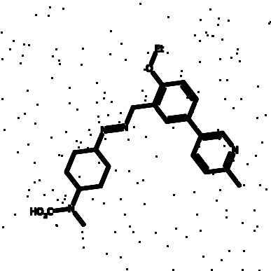 CCOc1ccc(-c2ccc(C)nc2)cc1CN=NC1CCC(N(C)C(=O)O)CC1